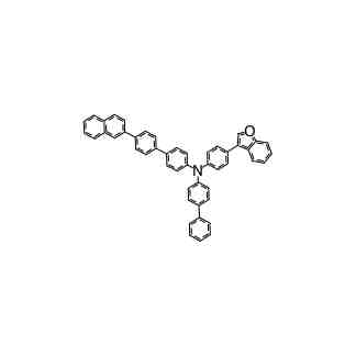 c1ccc(-c2ccc(N(c3ccc(-c4ccc(-c5ccc6ccccc6c5)cc4)cc3)c3ccc(-c4coc5ccccc45)cc3)cc2)cc1